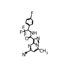 Cc1cc(C#N)nc2c(C(=O)NC(c3ccc(F)cc3)C(F)(F)F)ncn12